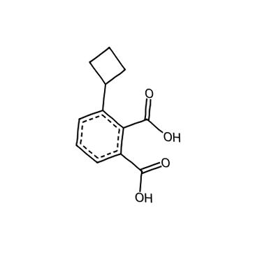 O=C(O)c1cccc(C2CCC2)c1C(=O)O